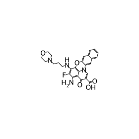 Nc1c(F)c(NCCCN2CCOCC2)c2c3c1c(=O)c(C(=O)O)cn3-c1cc3ccccc3cc1O2